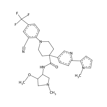 COC1CN(C)CC1NC(=O)C1(c2ccc(-c3cccn3C)nc2)CCN(c2ccc(C(F)(F)F)cc2C#N)CC1